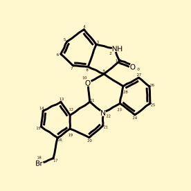 O=C1Nc2ccccc2C12OC1c3cccc(CBr)c3C=CN1c1ccccc12